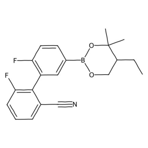 CCC1COB(c2ccc(F)c(-c3c(F)cccc3C#N)c2)OC1(C)C